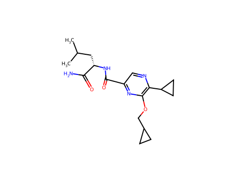 CC(C)C[C@H](NC(=O)c1cnc(C2CC2)c(OCC2CC2)n1)C(N)=O